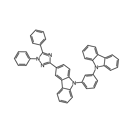 c1ccc(-c2nc(-c3ccc4c(c3)c3ccccc3n4-c3cccc(-n4c5ccccc5c5ccccc54)c3)nn2-c2ccccc2)cc1